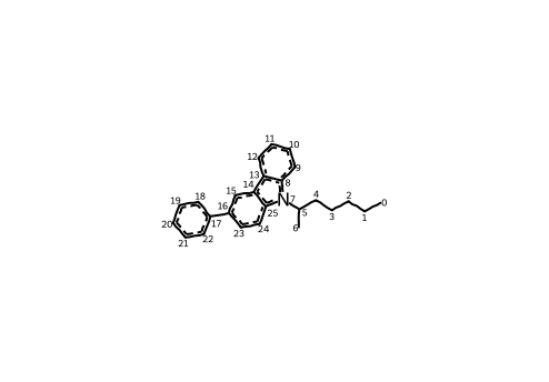 CCCCCC(C)n1c2ccccc2c2cc(-c3ccccc3)ccc21